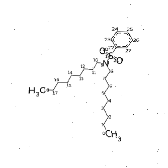 CCCCCCCCCN(CCCCCCCCC)S(=O)(=O)c1ccccc1